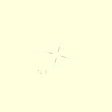 [F][Tb]([F])([F])[F].[NaH]